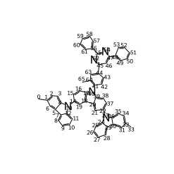 Cc1ccc2c(c1)c1ccccc1n2-c1ccc2c(c1)c1cc(-n3c4ccccc4c4cc(C)ccc43)ccc1n2-c1ccc(-c2cc(-c3ccccc3)nc(-c3ccccc3)n2)cc1C